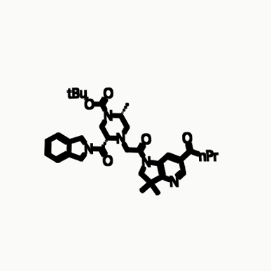 CCCC(=O)c1cnc2c(c1)N(C(=O)CN1C[C@@H](C)N(C(=O)OC(C)(C)C)C[C@H]1C(=O)N1Cc3ccccc3C1)CC2(C)C